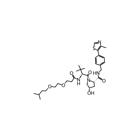 Cc1ncsc1-c1ccc(CNC(=O)[C@@H]2C[C@@H](O)CN2C(=O)[C@@H](NC(=O)CCOCCOCCC(C)C)C(C)(C)C)cc1